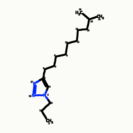 CCCn1cc(CCCCCCCCC(C)C)nn1